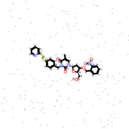 Cc1cn([C@H]2CC(OCc3ccccc3[N+](=O)[O-])[C@@H](CO)O2)c(=O)n(Cc2ccc(SSc3ccccn3)cc2)c1=O